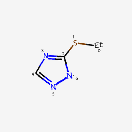 CCSC1=NC=N[N]1